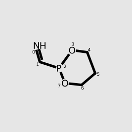 N=CP1OCCCO1